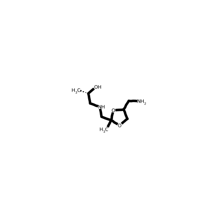 C[C@H](O)CNCC1(C)OCC(CN)O1